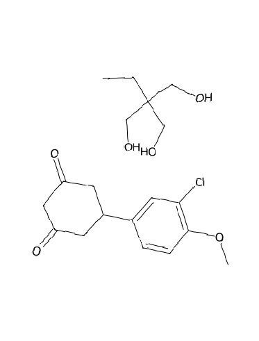 CCC(CO)(CO)CO.COc1ccc(C2CC(=O)CC(=O)C2)cc1Cl